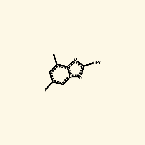 CCCc1nc2c(C)cc(I)cn2n1